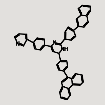 C1=C(c2ccc(-c3cccnc3)cc2)N=C(c2ccc(-c3ccc4ccccc4c3)cc2)NC1c1ccc(-c2cc3ccccc3c3ccccc23)cc1